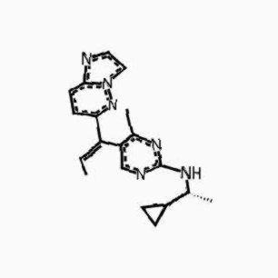 C/C=C(/c1ccc2nccn2n1)c1cnc(N[C@H](C)C2CC2)nc1C